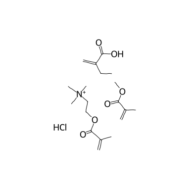 C=C(C)C(=O)OC.C=C(C)C(=O)OCC[N+](C)(C)C.C=C(CC)C(=O)O.Cl